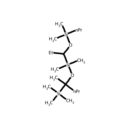 CCCC(C)(O[Si](C)(C)C(CC)O[Si](C)(C)CCC)[Si](C)(C)C